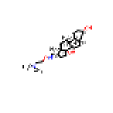 CN(C)CCO/N=C/[C@H]1CC[C@]2(O)[C@@H]3CC[C@@H]4C[C@@H](O)CC[C@]4(C)[C@H]3CC[C@]12C